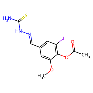 COc1cc(C=NNC(N)=S)cc(I)c1OC(C)=O